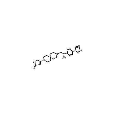 O=C1C=C(N2CCC3(CCN(C[C@@H](O)c4ccc(-n5cnnn5)nn4)CC3)CC2)CO1